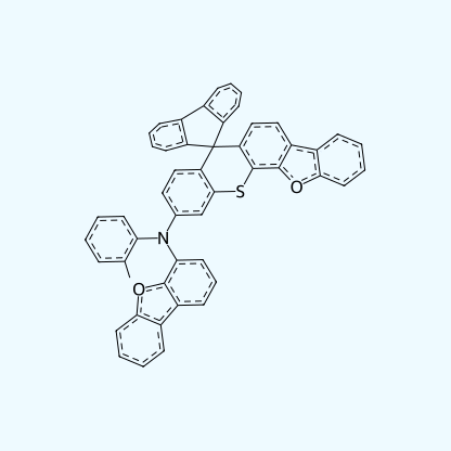 Cc1ccccc1N(c1ccc2c(c1)Sc1c(ccc3c1oc1ccccc13)C21c2ccccc2-c2ccccc21)c1cccc2c1oc1ccccc12